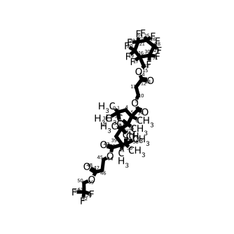 CC(C)(C)CC(C)(C(=O)OCCC(=O)OCC1(F)C(F)(F)C(F)(F)C(F)(F)C(F)(F)C1(F)F)C(C)(C)C(C)(C)CC(C)(C(=O)OCCC(=O)OCC(F)(F)F)C(C)(C)C